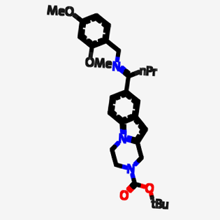 CCCC(=NCc1ccc(OC)cc1OC)c1ccc2c(c1)cc1n2CCN(C(=O)OC(C)(C)C)C1